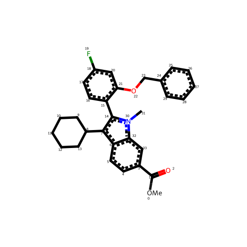 COC(=O)c1ccc2c(C3CCCCC3)c(-c3ccc(F)cc3OCc3ccccc3)n(C)c2c1